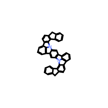 c1ccc2c(c1)Cc1ccc3c4cccc5c6cc7c(cc6n(c3c1-2)c54)c1cccc2c3ccc4c(c3n7c12)-c1ccccc1C4